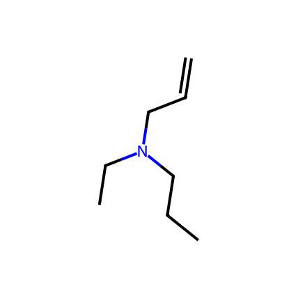 C=CCN(CC)CCC